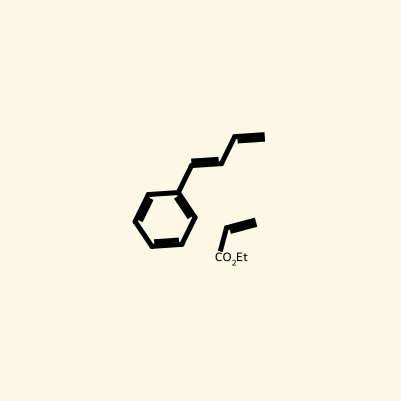 C=CC(=O)OCC.C=CC=Cc1ccccc1